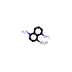 Nc1ccc(S(=O)(=O)O)c2c(N)cccc12